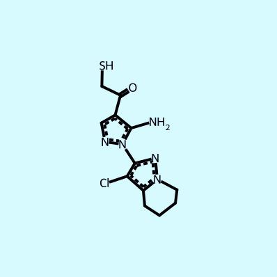 Nc1c(C(=O)CS)cnn1-c1nn2c(c1Cl)CCCC2